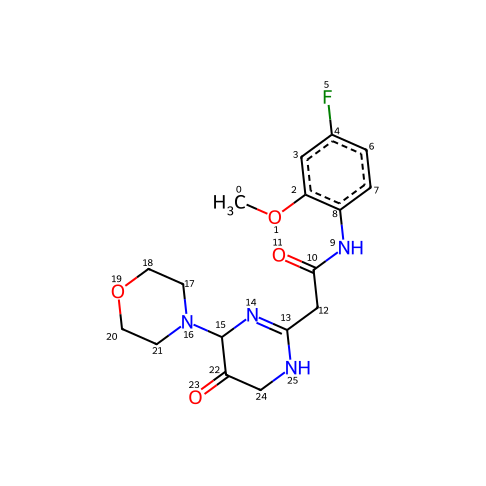 COc1cc(F)ccc1NC(=O)CC1=NC(N2CCOCC2)C(=O)CN1